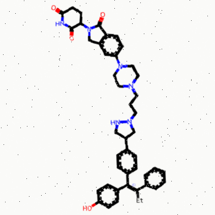 CC/C(=C(\c1ccc(O)cc1)c1ccc(C2CNN(CCCN3CCN(c4ccc5c(c4)CN(C4CCC(=O)NC4=O)C5=O)CC3)C2)cc1)c1ccccc1